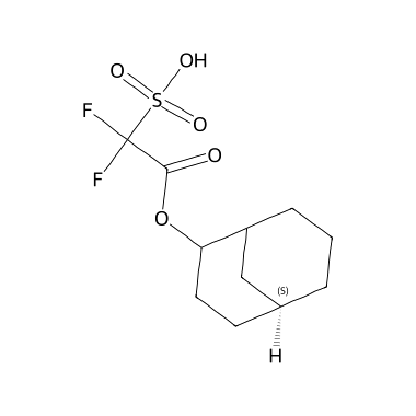 O=C(OC1CC[C@@H]2CCCC1C2)C(F)(F)S(=O)(=O)O